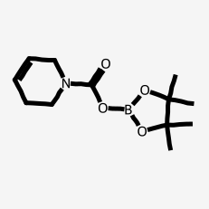 CC1(C)OB(OC(=O)N2CC=CCC2)OC1(C)C